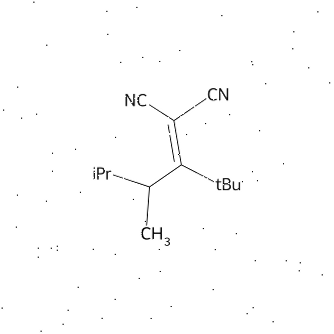 CC(C)C(C)C(=C(C#N)C#N)C(C)(C)C